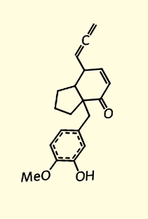 C=C=CC1C=CC(=O)C2(Cc3ccc(OC)c(O)c3)CCCC12